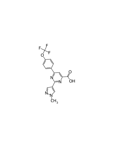 Cn1cc(-c2nc(C(=O)O)cc(-c3ccc(OC(F)(F)F)cc3)n2)cn1